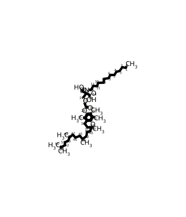 CCCCCCCCCCCCCC(=O)NC(CO)(CO)COCC(=O)Oc1c(C)c(C)c2c(c1C)CCC(C)(CCCC(C)CCCC(C)CCCC(C)C)O2